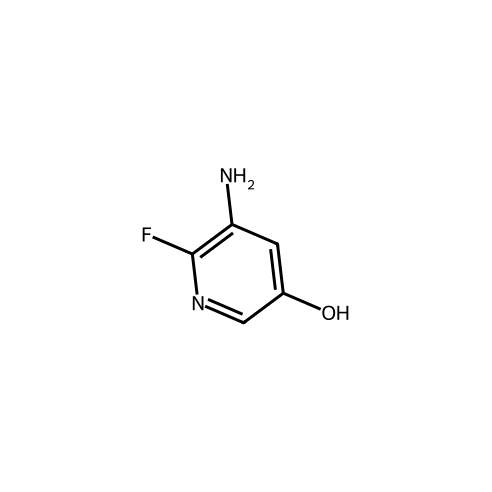 Nc1cc(O)cnc1F